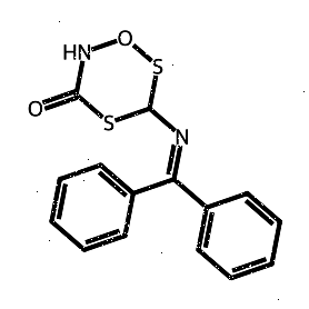 O=C1NOSC(N=C(c2ccccc2)c2ccccc2)S1